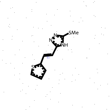 CSc1nnc(/C=C/c2cccs2)[nH]1